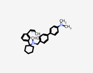 C/C=C\c1cccc(C2(N(C=O)Cc3ccc(-c4ccc(N(C)C)cc4)cc3)CCCCC2)c1